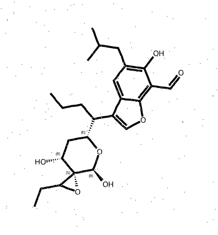 CCCC(c1coc2c(C=O)c(O)c(CC(C)C)cc12)[C@H]1C[C@@H](O)[C@@]2(OC2CC)[C@H](O)O1